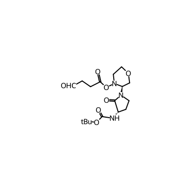 CC(C)(C)OC(=O)N[C@H]1CCN([C@@H]2COCCN2OC(=O)CCC=O)C1=O